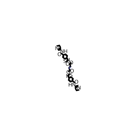 O=C(/C=C/C(=O)Oc1nc2ccc(C(=O)NC3CN4CCC3C4)cc2s1)Oc1nc2ccc(C(=O)NC3CN4CCC3C4)cc2s1